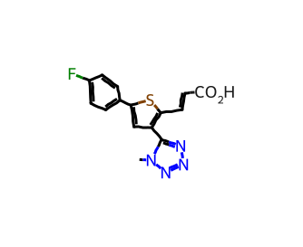 Cn1nnnc1-c1cc(-c2ccc(F)cc2)sc1/C=C/C(=O)O